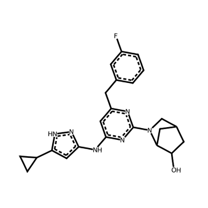 OC1CC2CC1N(c1nc(Cc3cccc(F)c3)cc(Nc3cc(C4CC4)[nH]n3)n1)C2